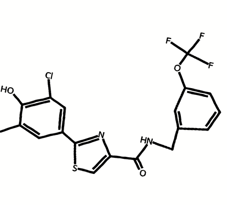 O=C(NCc1cccc(OC(F)(F)F)c1)c1csc(-c2cc(Cl)c(O)c(Cl)c2)n1